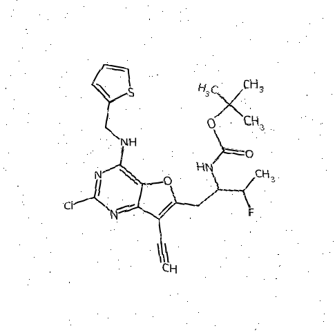 C#Cc1c(CC(NC(=O)OC(C)(C)C)C(C)F)oc2c(NCc3cccs3)nc(Cl)nc12